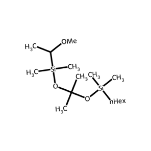 CCCCCC[Si](C)(C)OC(C)(C)O[Si](C)(C)C(C)OC